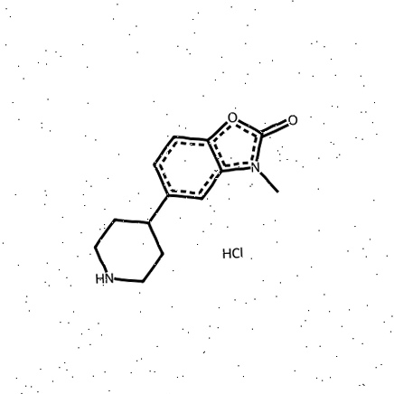 Cl.Cn1c(=O)oc2ccc(C3CCNCC3)cc21